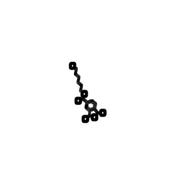 O=CCCCCCOC(=O)c1ccc2c(c1)C(=O)OC2=O